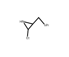 CCCCC1NC1CC